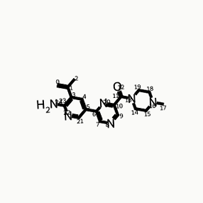 C=C(C)c1cc(-c2cncc(C(=O)N3CCN(C)CC3)n2)cnc1N